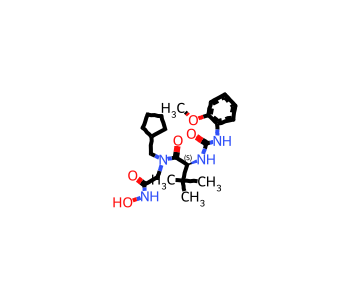 COc1ccccc1NC(=O)N[C@H](C(=O)N(CC(=O)NO)CC1CCCC1)C(C)(C)C